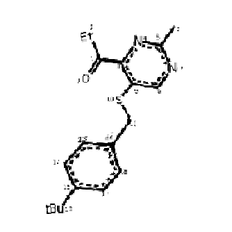 CCC(=O)c1nc(C)ncc1SCc1ccc(C(C)(C)C)cc1